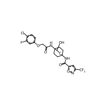 O=C(COc1ccc(Cl)c(F)c1)NC12CCC(NC(=O)c3cc(C(F)(F)F)no3)(CC1)CC2O